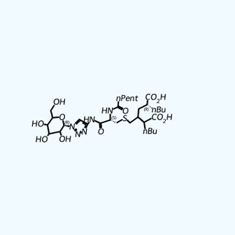 CCCCCC(=O)N[C@H](CSCC(C[C@@H](CCCC)C(=O)O)C(CCCC)C(=O)O)C(=O)Nc1cn([C@@H]2OC(CO)C(O)C(O)C2O)nn1